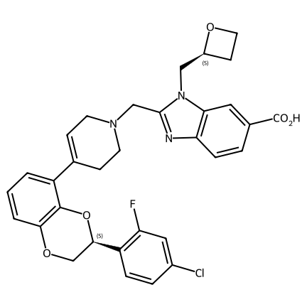 O=C(O)c1ccc2nc(CN3CC=C(c4cccc5c4O[C@@H](c4ccc(Cl)cc4F)CO5)CC3)n(C[C@@H]3CCO3)c2c1